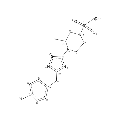 CCCCCCCCCCS(=O)(=O)N1CCN(c2nc(Cc3ccc(C)cc3)ns2)C(C)C1